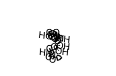 O=C(c1ccccc1)n1cc([C@@H]2O[C@H](COP(=O)(O)OP(=O)(O)OP(=O)(O)O)[C@@H](O)[C@H]2O)c(=O)[nH]c1=O